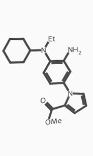 CCN(c1ccc(-n2cccc2C(=O)OC)cc1N)C1CCCCC1